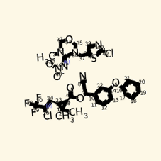 CC1(C)[C@H](C(=O)OC(C#N)c2cccc(Oc3ccccc3)c2)[C@@H]1/C=C(\Cl)C(F)(F)F.CN1COCN(Cc2cnc(Cl)s2)/C1=N/[N+](=O)[O-]